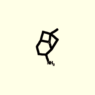 CC12CC3CCC(N)C(C1)N32